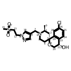 C[C@H]1C[C@@]2(CCN1Cc1cnn(CCS(C)(=O)=O)c1)OC[C@@H](O)c1ccc(Cl)cc12